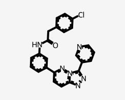 O=C(Cc1ccc(Cl)cc1)Nc1cccc(-c2ccc3nnc(-c4cccnc4)n3n2)c1